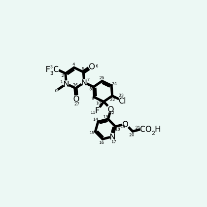 Cn1c(C(F)(F)F)cc(=O)n(C2=CC(F)(Oc3cccnc3OCC(=O)O)C(Cl)C=C2)c1=O